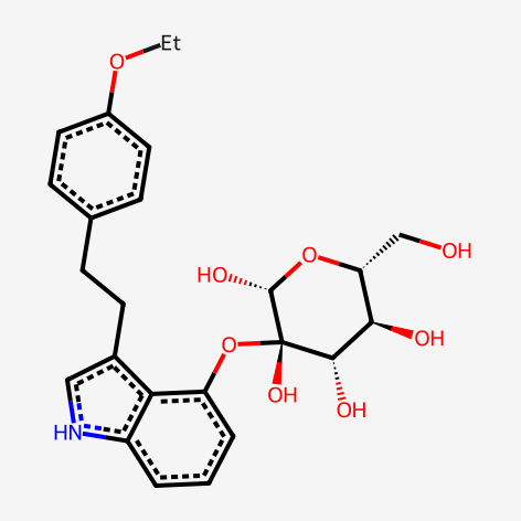 CCOc1ccc(CCc2c[nH]c3cccc(O[C@]4(O)[C@H](O)O[C@H](CO)[C@@H](O)[C@@H]4O)c23)cc1